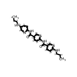 CCCNc1ccc(NC(=O)c2ccc(NC(=O)c3ccc(NCCC)nc3)nc2)nc1